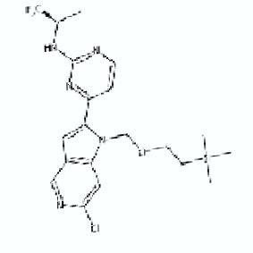 C[C@@H](Nc1nccc(-c2cc3cnc(Cl)cc3n2COCC[Si](C)(C)C)n1)C(F)(F)F